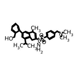 CC(C)c1cc(-c2ccccc2CO)cc2c1CC(N(N)S(=O)(=O)c1ccc(CN(C)C)cc1)=CC2C